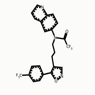 O=C(N(CCCc1cnoc1-c1ccc(C(F)(F)F)cc1)c1ccc2ncccc2c1)C(F)(F)F